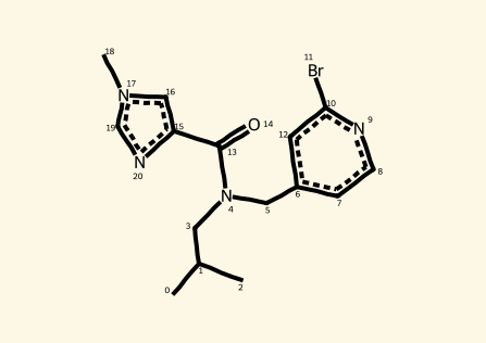 CC(C)CN(Cc1ccnc(Br)c1)C(=O)c1cn(C)cn1